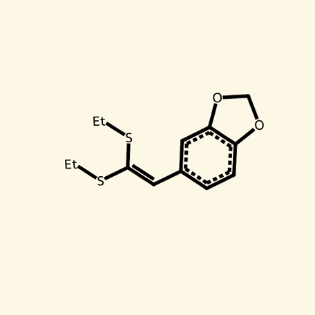 CCSC(=Cc1ccc2c(c1)OCO2)SCC